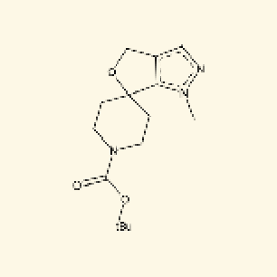 Cn1ncc2c1C1(CCN(C(=O)OC(C)(C)C)CC1)OC2